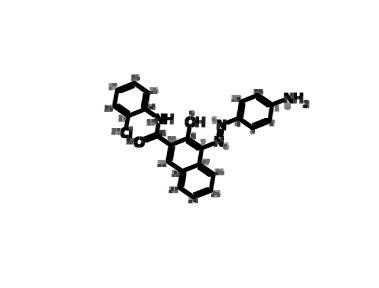 Nc1ccc(N=Nc2c(O)c(C(=O)Nc3ccccc3Cl)cc3ccccc23)cc1